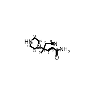 CC(C=CC(N)=O)(CC#N)N1CCNCC1